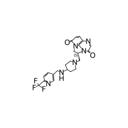 O=c1ccc2ncc(=O)n3c2n1C[C@@H]3CN1CCC(NCc2ccc(C(F)(F)F)nc2)CC1